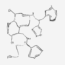 N#Cc1cnc2c(Cl)cc(NC(c3cccnc3)c3c[nH]nn3)cc2c1N[C@@H](CCO)c1ccccc1